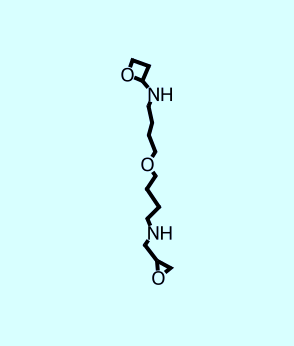 C(CCOCCCCNC1CCO1)CNCC1CO1